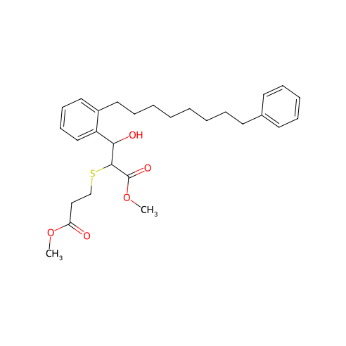 COC(=O)CCSC(C(=O)OC)C(O)c1ccccc1CCCCCCCCc1ccccc1